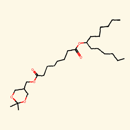 CCCCCCC(CCCCCC)OC(=O)CCCCCCC(=O)OCC1COC(C)(C)OC1